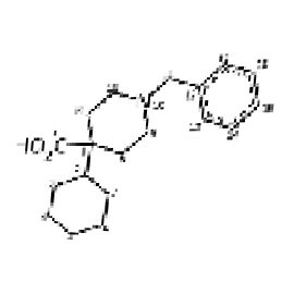 O=C(O)C1(C2CCCCC2)CCN(Cc2ccccc2)CC1